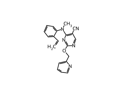 C=Cc1ccccc1N(C)c1nc(OCc2ccccn2)ncc1C#N